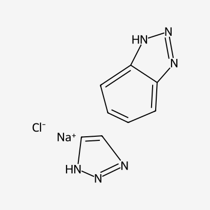 [Cl-].[Na+].c1c[nH]nn1.c1ccc2[nH]nnc2c1